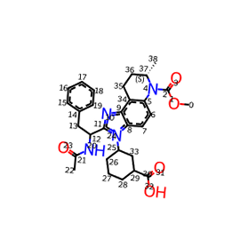 COC(=O)N1c2ccc3c(nc(C(Cc4ccccc4)NC(C)=O)n3C3CCCC(C(=O)O)C3)c2CC[C@@H]1C